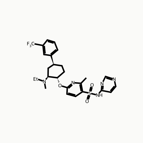 CCN(C)[C@H]1C[C@@H](c2cccc(C(F)(F)F)c2)CC[C@@H]1Oc1ccc(S(=O)(=O)Nc2ccncn2)c(C)n1